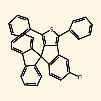 Clc1ccc2c(c1)-c1c(-c3ccccc3)sc(-c3ccccc3)c1C21c2ccccc2-c2ccccc21